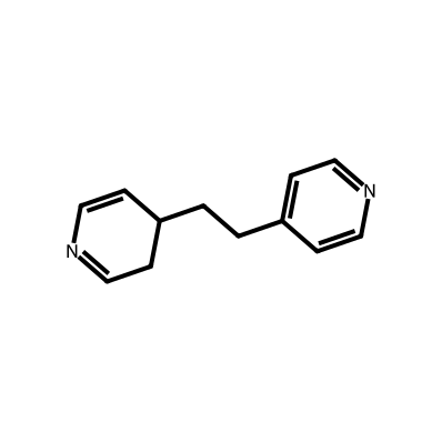 C1=CC(CCc2ccncc2)CC=N1